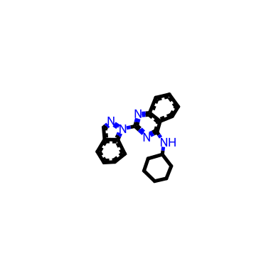 c1ccc2c(c1)cnn2-c1nc(NC2CCCCC2)c2ccccc2n1